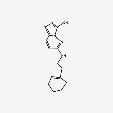 Cc1nnc2ccc(NCCC3=CCCCC3)nn12